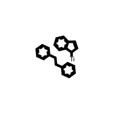 [Ti][CH]1C=Cc2ccccc21.c1ccc(CCc2ccccc2)cc1